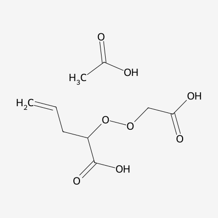 C=CCC(OOCC(=O)O)C(=O)O.CC(=O)O